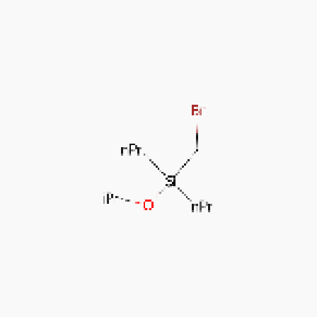 CCC[Si](CBr)(CCC)OC(C)C